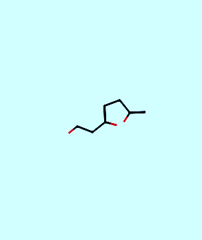 CC1CCC(CCO)O1